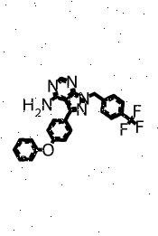 Nc1ncnc2c1c(-c1ccc(Oc3ccccc3)cc1)nn2Cc1ccc(C(F)(F)F)cc1